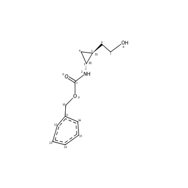 O=C(N[C@@H]1C[C@H]1CCO)OCc1ccccc1